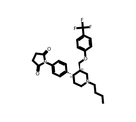 CCCCN1CC[C@H](c2ccc(N3C(=O)CCC3=O)cc2)[C@@H](COc2ccc(C(F)(F)F)cc2)C1